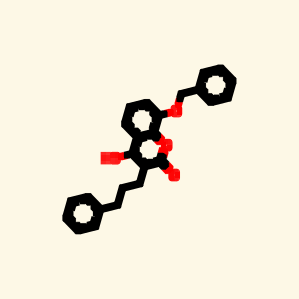 O=c1oc2c(OCc3ccccc3)cccc2c(O)c1CCCc1ccccc1